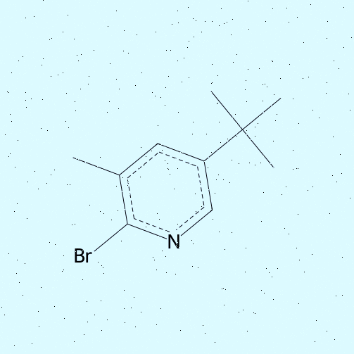 Cc1cc(C(C)(C)C)cnc1Br